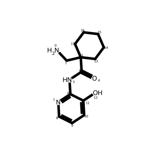 NCC1(C(=O)Nc2ncccc2O)CCCCC1